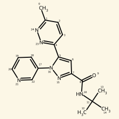 Cc1ccc(-c2cc(C(=O)NC(C)(C)C)nn2-c2cccnc2)nn1